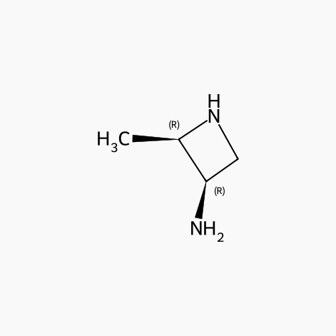 C[C@H]1NC[C@H]1N